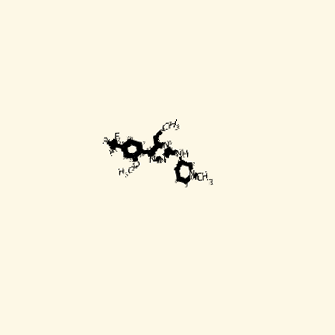 CCc1nc(N[C@@H]2CCCN(C)C2)nnc1-c1ccc(C(F)(F)F)cc1OC